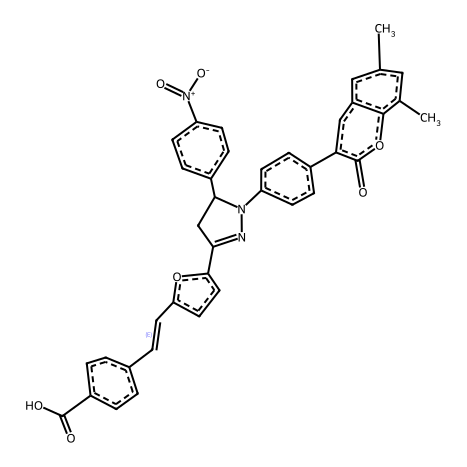 Cc1cc(C)c2oc(=O)c(-c3ccc(N4N=C(c5ccc(/C=C/c6ccc(C(=O)O)cc6)o5)CC4c4ccc([N+](=O)[O-])cc4)cc3)cc2c1